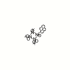 CC(C)(C)OC(=O)N1CCN(OC(C)(C)C)CCN(C(=O)Cc2ccc3ccc4cccc5ccc2c3c45)CCN(C(=O)OC(C)(C)C)CC1